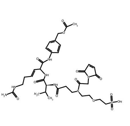 CC(=O)OCc1ccc(NC(=O)C(/C=C/CCNC(N)=O)NC(=O)[C@@H](NC(=O)CCN(CCOCCS(=O)(=O)O)C(=O)CN2C(=O)C=CC2=O)C(C)C)cc1